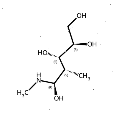 CN[C@H](O)[C@@H](C)[C@H](O)[C@H](O)CO